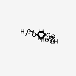 CCOc1ccc(OP(=O)(O)O)cc1